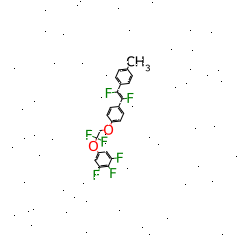 Cc1ccc(/C(F)=C(\F)c2ccc(OCC(F)(F)Oc3cc(F)c(F)c(F)c3)cc2)cc1